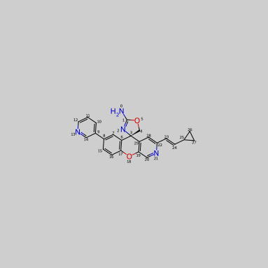 NC1=N[C@@]2(CO1)c1cc(-c3cccnc3)ccc1Oc1cnc(C=CC3CC3)cc12